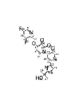 Cc1cc(OCc2ncc(F)cc2F)c(Cl)c(=O)n1-c1cc(-c2csc(C(C)(C)O)n2)ncc1Cl